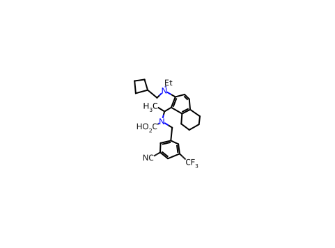 CCN(CC1CCC1)c1ccc2c(c1C(C)N(Cc1cc(C#N)cc(C(F)(F)F)c1)C(=O)O)CCCC2